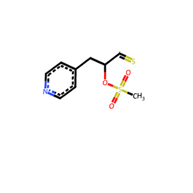 CS(=O)(=O)OC([C]=S)Cc1ccncc1